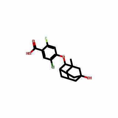 CC12CC3CC(CC(O)(C3)C1)C2Oc1cc(F)c(C(=O)O)cc1Cl